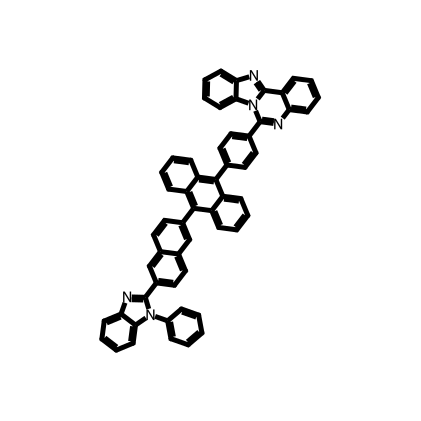 c1ccc(-n2c(-c3ccc4cc(-c5c6ccccc6c(-c6ccc(-c7nc8ccccc8c8nc9ccccc9n78)cc6)c6ccccc56)ccc4c3)nc3ccccc32)cc1